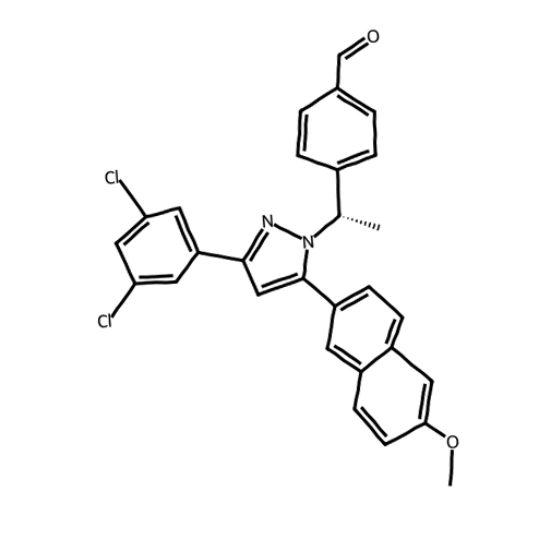 COc1ccc2cc(-c3cc(-c4cc(Cl)cc(Cl)c4)nn3[C@@H](C)c3ccc(C=O)cc3)ccc2c1